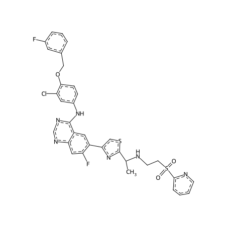 CC(NCCS(=O)(=O)c1ccccn1)c1nc(-c2cc3c(Nc4ccc(OCc5cccc(F)c5)c(Cl)c4)ncnc3cc2F)cs1